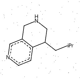 CC(C)CC1CNCc2cnccc21